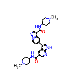 CN1CCC(NC(=O)c2cnc3[nH]cc(-c4ccn5ncc(C(=O)NC6CCN(C)CC6)c5c4)c3c2)CC1